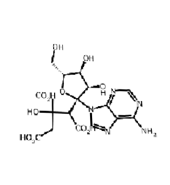 Nc1ncnc2c1ncn2[C@]1(C(C(=O)O)C(O)(CC(=O)O)C(=O)O)O[C@H](CO)[C@@H](O)[C@H]1O